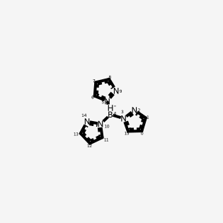 c1cnn([BH-](n2cccn2)n2cccn2)c1